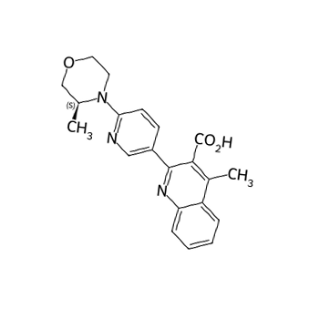 Cc1c(C(=O)O)c(-c2ccc(N3CCOC[C@@H]3C)nc2)nc2ccccc12